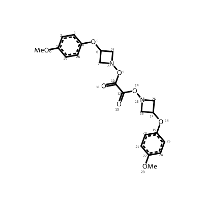 COc1ccc(OC2CN(OC(=O)C(=O)ON3CC(Oc4ccc(OC)cc4)C3)C2)cc1